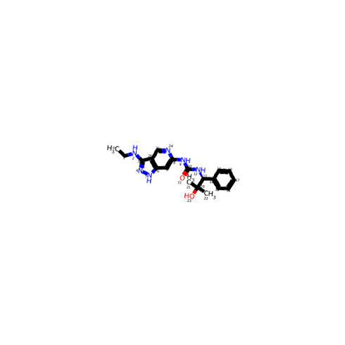 CCNc1n[nH]c2cc(NC(=O)N[C@@H](c3ccccc3)C(C)(C)O)ncc12